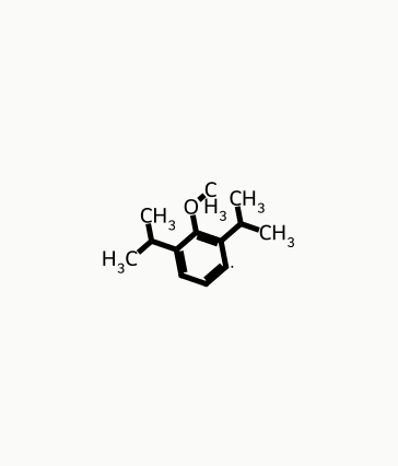 COc1c(C(C)C)[c]ccc1C(C)C